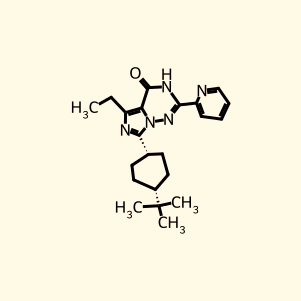 CCc1nc([C@H]2CC[C@@H](C(C)(C)C)CC2)n2nc(-c3ccccn3)[nH]c(=O)c12